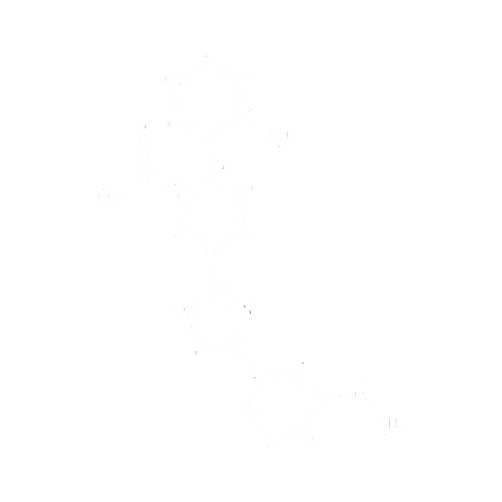 COc1cccc(-c2csc(-c3ccc(-c4ccccc4C)c(C(=O)O)c3)n2)c1